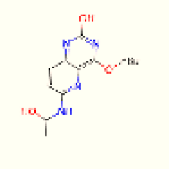 CCCCOc1nc(O)nc2ccc(NC(C)O)nc12